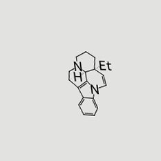 CC[C@@]12C=Cn3c4c(c5ccccc53)CCN(CCC1)[C@H]42